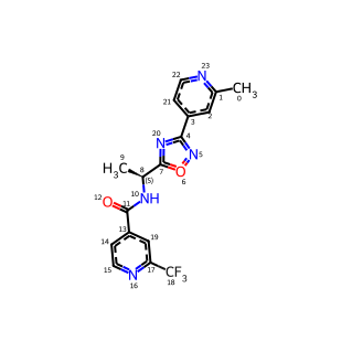 Cc1cc(-c2noc([C@H](C)NC(=O)c3ccnc(C(F)(F)F)c3)n2)ccn1